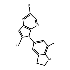 Cc1cc(-n2c(C(C)C)cc3cc(F)cnc32)cc2c1NCC2